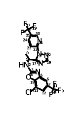 CC(Nc1nc2cc(C(F)(F)F)cc(Cl)c2o1)c1ncnn1-c1ccc(C(F)(F)F)cn1